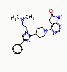 CN(C)CCn1cc(-c2ccccc2)nc1C1CCN(c2ncnc3c2CC(=O)N3)CC1